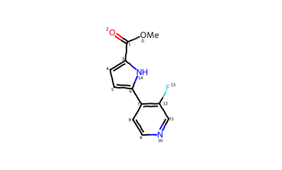 COC(=O)c1ccc(-c2ccncc2F)[nH]1